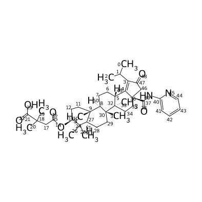 CC(C)C1=C2[C@H]3CC[C@@H]4[C@@]5(C)CC[C@H](OC(=O)CC(C)(C)C(=O)O)C(C)(C)[C@@H]5CC[C@@]4(C)[C@]3(C)CC[C@@]2(C(=O)Nc2ccccn2)CC1=O